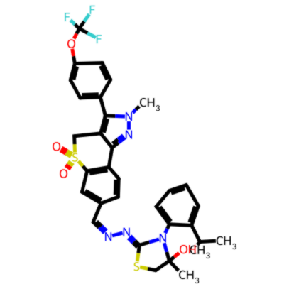 CC(C)c1ccccc1N1/C(=N/N=C\c2ccc3c(c2)S(=O)(=O)Cc2c-3nn(C)c2-c2ccc(OC(F)(F)F)cc2)SCC1(C)O